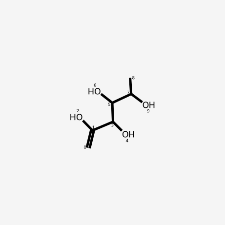 C=C(O)C(O)C(O)C(C)O